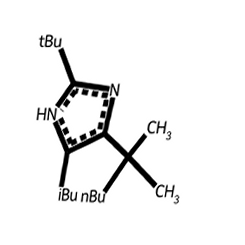 CCCCC(C)(C)c1nc(C(C)(C)C)[nH]c1C(C)CC